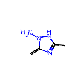 C=C1N=C(C)NN1N